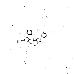 CCOC(=O)C1=C(CN2CC[C@@]3(F)C(=O)N(c4ccc(C(=O)O)c(C)c4)C[C@H]3C2)NC(c2nccs2)=N[C@H]1c1cccc(F)c1C